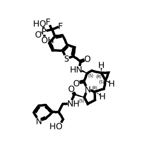 O=C(N[C@H]1C[C@H]2C[C@H]2C[C@H]2CC[C@@H](C(=O)NCC(CO)c3cccnc3)N2C1=O)c1cc2cc(C(F)(F)P(=O)(O)O)ccc2s1